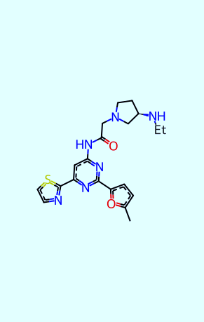 CCN[C@@H]1CCN(CC(=O)Nc2cc(-c3nccs3)nc(-c3ccc(C)o3)n2)C1